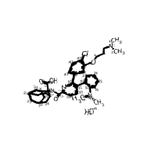 CN(C)CCCOc1cc(-c2nc(C(=O)NC3(C(=O)O)C4CC5CC(C4)CC3C5)ccc2-c2ccccc2N(C)C)ccc1Cl.Cl